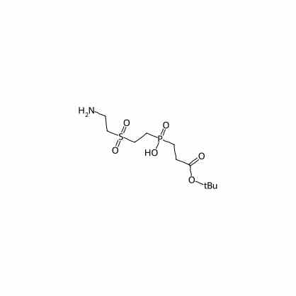 CC(C)(C)OC(=O)CCP(=O)(O)CCS(=O)(=O)CCN